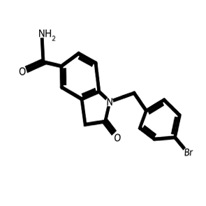 NC(=O)c1ccc2c(c1)CC(=O)N2Cc1ccc(Br)cc1